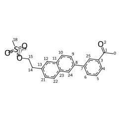 CC(=O)c1cccc(-c2ccc3cc(CCOS(C)(=O)=O)ccc3c2)c1